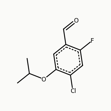 CC(C)Oc1cc(C=O)c(F)cc1Cl